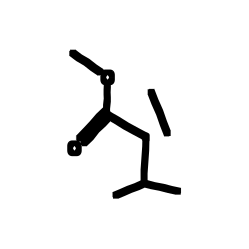 CC.COC(=O)CC(C)C